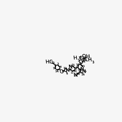 C#Cc1ccc(OC2CN(c3ccc(-c4cc(OCC(C)(C)O)cn5ncc(C#N)c45)cn3)C2)cc1